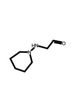 O=[C]CNN1CCCCC1